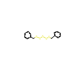 c1ccc(CSSSSSCc2ccccc2)cc1